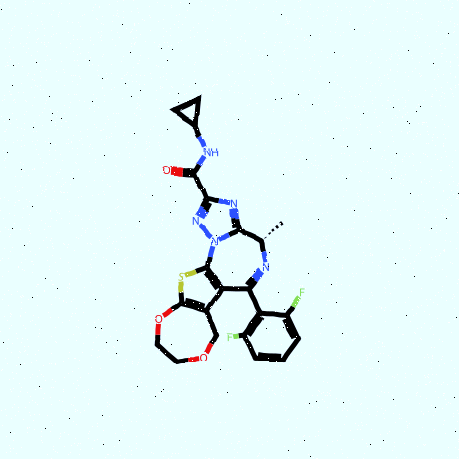 C[C@@H]1N=C(c2c(F)cccc2F)c2c(sc3c2COCCO3)-n2nc(C(=O)NC3CC3)nc21